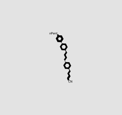 CCCCCc1ccc([C@H]2CC[C@H](CCCC[C@H]3CC[C@H](CCC=CC#N)CC3)CC2)cc1